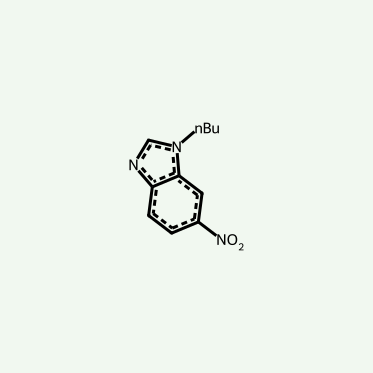 CCCCn1cnc2ccc([N+](=O)[O-])cc21